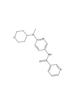 CN(c1ccc(NC(=O)c2cccnc2)cn1)C1CCOCC1